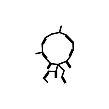 C=CCC1(C(=C)/C=C\C)C(=C)/C=C\C=C/C(C)C/C=C\C(C)=C/C1=C